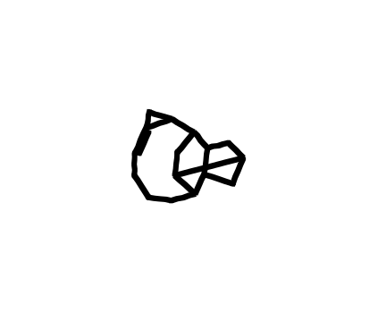 C1=C2CC2C2CC3C4CC2C(C4)C3CCC1